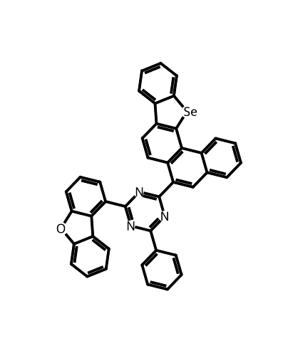 c1ccc(-c2nc(-c3cc4ccccc4c4c3ccc3c5ccccc5[se]c34)nc(-c3cccc4oc5ccccc5c34)n2)cc1